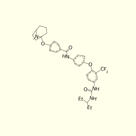 CCC(CC)NC(=O)Nc1ccc(Oc2ccc(NC(=O)c3ccc(OC45CCCC(CC4)N5C)cc3)cc2)c(C(F)(F)F)c1